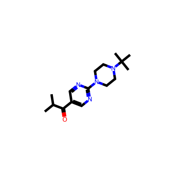 CC(C)C(=O)c1cnc(N2CCN(C(C)(C)C)CC2)nc1